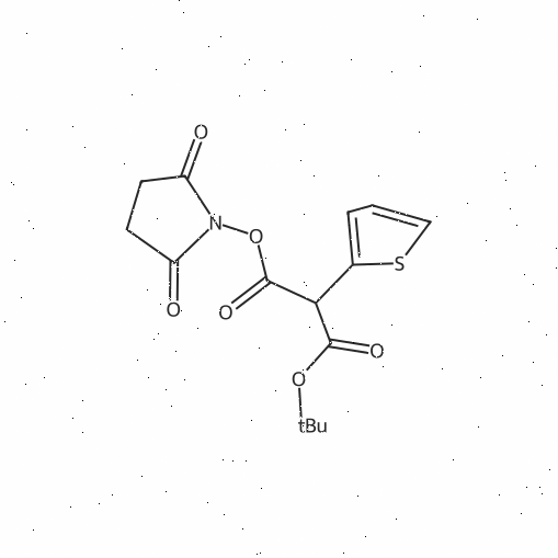 CC(C)(C)OC(=O)C(C(=O)ON1C(=O)CCC1=O)c1cccs1